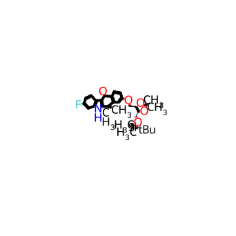 CC1(C)O[C@H](COc2ccc3c(c2)C(C)(C)c2[nH]c4cc(F)ccc4c2C3=O)[C@@H](CO[Si](C)(C)C(C)(C)C)O1